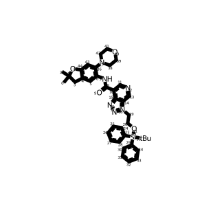 CC1(C)Cc2cc(NC(=O)c3cncc4c3nnn4CCO[Si](c3ccccc3)(c3ccccc3)C(C)(C)C)c(N3CCOCC3)cc2O1